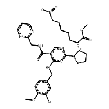 COC(=O)C(CCCCO[N+](=O)[O-])[C@@H]1CCCN1c1ncc(C(=O)NCc2ncccn2)c(NCc2ccc(OC)c(Cl)c2)n1